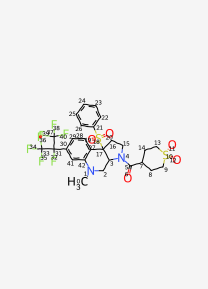 CN1CC2N(C(=O)C3CCS(=O)(=O)CC3)CCC2(S(=O)(=O)c2ccccc2)c2ccc(C(F)(C(F)(F)F)C(F)(F)F)cc21